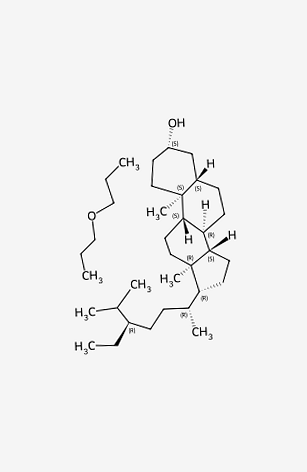 CCCOCCC.CC[C@H](CC[C@@H](C)[C@H]1CC[C@H]2[C@@H]3CC[C@H]4C[C@@H](O)CC[C@]4(C)[C@H]3CC[C@]12C)C(C)C